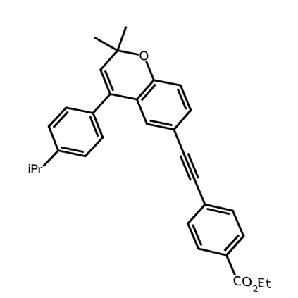 CCOC(=O)c1ccc(C#Cc2ccc3c(c2)C(c2ccc(C(C)C)cc2)=CC(C)(C)O3)cc1